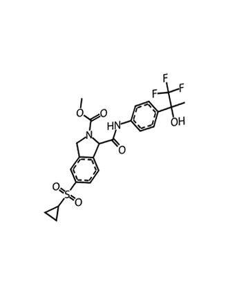 COC(=O)N1Cc2cc(S(=O)(=O)C3CC3)ccc2C1C(=O)Nc1ccc(C(C)(O)C(F)(F)F)cc1